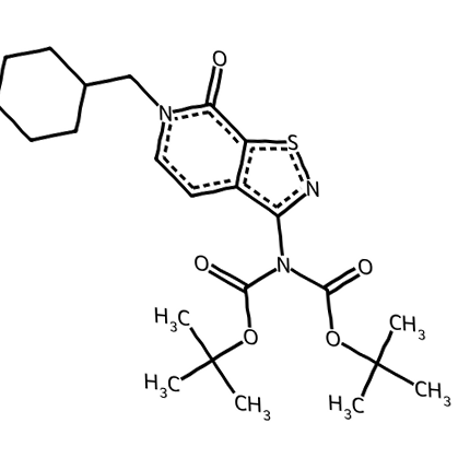 CC(C)(C)OC(=O)N(C(=O)OC(C)(C)C)c1nsc2c(=O)n(CC3CCCCC3)ccc12